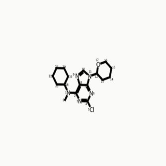 CN(c1nc(Cl)nc2c1ncn2C1CCCCO1)C1CCCCC1